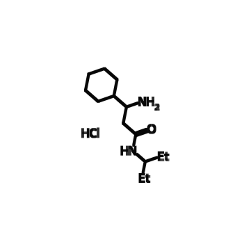 CCC(CC)NC(=O)CC(N)C1CCCCC1.Cl